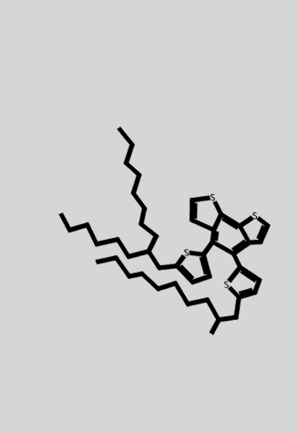 CCCCCCCCC(C)Cc1ccc(-c2c(-c3ccc(CC(CCCCCC)CCCCCCCC)s3)c3ccsc3c3sccc23)s1